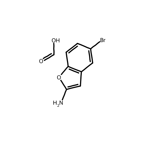 Nc1cc2cc(Br)ccc2o1.O=CO